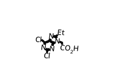 CCc1nc2c(Cl)nc(Cl)nc2n1CC(=O)O